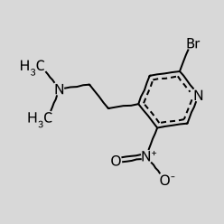 CN(C)CCc1cc(Br)ncc1[N+](=O)[O-]